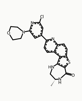 C[C@@H]1CNc2c(sc3ccc4nc(-c5cc(Cl)nc(N6CCOCC6)c5)ccc4c23)C(=O)N1